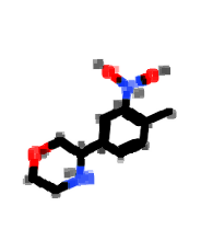 Cc1ccc(C2COCCN2)cc1[N+](=O)[O-]